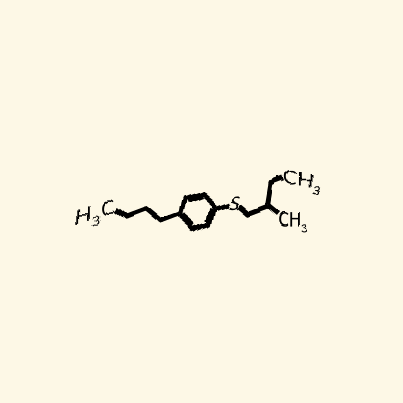 CCCCc1ccc(SCC(C)CC)cc1